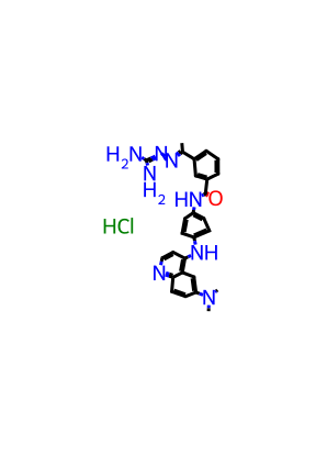 CC(=NN=C(N)N)c1cccc(C(=O)Nc2ccc(Nc3ccnc4ccc(N(C)C)cc34)cc2)c1.Cl